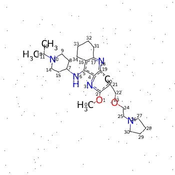 COc1nc2c(NC3CCN(C(C)C)CC3)c3c(nc2cc1COCCN1CCCC1)CCCC3